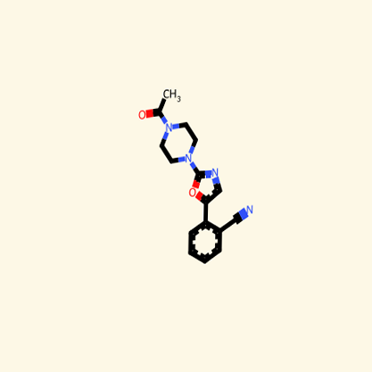 CC(=O)N1CCN(c2ncc(-c3ccccc3C#N)o2)CC1